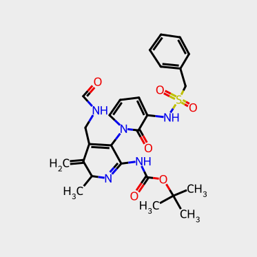 C=C1C(CNC=O)=C(n2cccc(NS(=O)(=O)Cc3ccccc3)c2=O)C(NC(=O)OC(C)(C)C)=NC1C